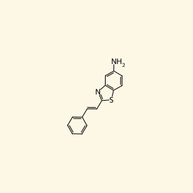 Nc1ccc2sc(C=Cc3ccccc3)nc2c1